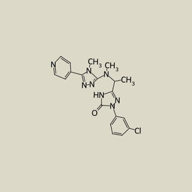 CC(c1nn(-c2cccc(Cl)c2)c(=O)[nH]1)N(C)c1nnc(-c2ccncc2)n1C